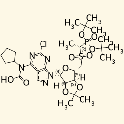 C[C@H](P(=O)(OC(C)(C)C)OC(C)(C)C)S(=O)(=O)C[C@H]1O[C@@H](n2ncc3c(N(C(=O)O)C4CCCC4)nc(Cl)nc32)[C@@H]2OC(C)(C)O[C@@H]21